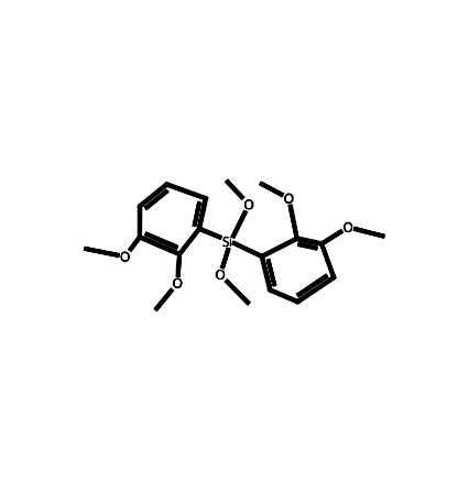 COc1cccc([Si](OC)(OC)c2cccc(OC)c2OC)c1OC